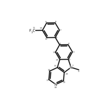 Cn1c2ccc(-c3cccc(C(F)(F)F)c3)cc2c2ccncc21